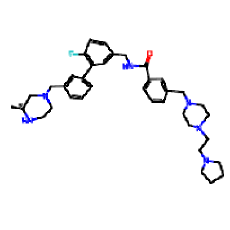 C[C@H]1CN(Cc2cccc(-c3cc(CNC(=O)c4cccc(CN5CCN(CCN6CCCC6)CC5)c4)ccc3F)c2)CCN1